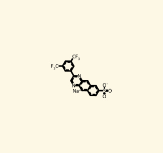 O=S(=O)([O-])c1ccc2cc3ncc(-c4cc(C(F)(F)F)cc(C(F)(F)F)c4)nc3cc2c1.[Na+]